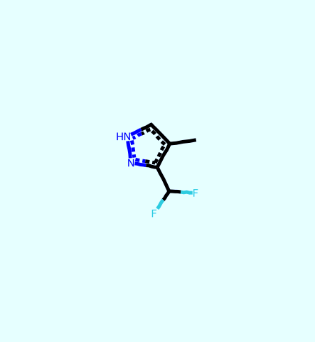 Cc1c[nH]nc1C(F)F